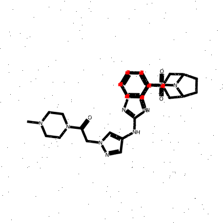 CN1CCN(C(=O)Cn2cc(Nc3nc4c(N5CC6CCC(C5)N6S(=O)(=O)c5ccccc5C#N)cccn4n3)cn2)CC1